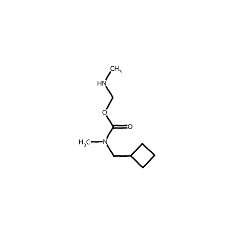 CNCOC(=O)N(C)CC1CCC1